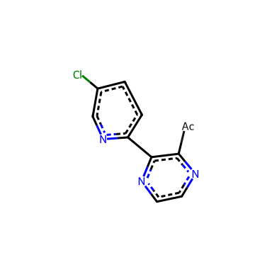 CC(=O)c1nccnc1-c1ccc(Cl)cn1